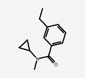 CCc1cccc(C(=O)N(C)C2CC2)c1